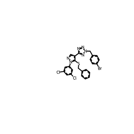 Clc1cc(Cl)cc(-n2ncc(-c3nnn(Cc4ccc(Br)cc4)n3)c2SCc2ccccc2)c1